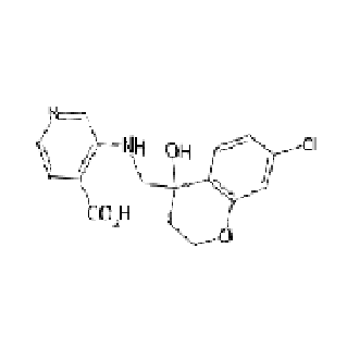 O=C(O)c1ccncc1NCC1(O)CCOc2cc(Cl)ccc21